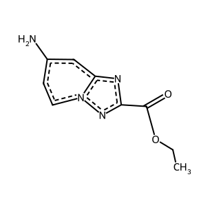 CCOC(=O)c1nc2cc(N)ccn2n1